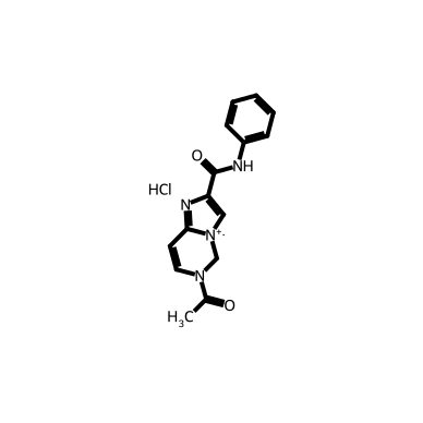 CC(=O)N1C=CC2=NC(C(=O)Nc3ccccc3)=C[N+]2C1.Cl